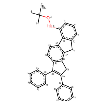 CC(C)(C)C(C)(C)OBc1cccc2c1-c1ccc3c(c1C2)CC(c1ccccc1)=C3c1ccccc1